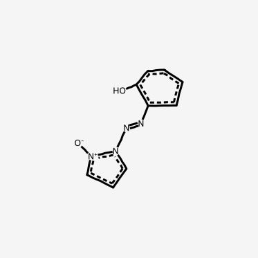 [O-][n+]1cccn1N=Nc1ccccc1O